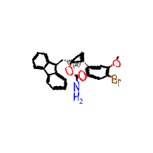 COc1cc([C@H]2C[C@]2(CC2c3ccccc3-c3ccccc32)OC(N)=O)ccc1Br